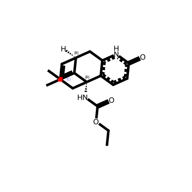 C/C=C1\[C@H]2C=C(C)C[C@]1(NC(=O)OCC)c1ccc(=O)[nH]c1C2